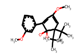 COC1=CC(C(C)(C)C)(C(C)(C)C)C([O])([O])C(c2cccc(OC)c2)=C1